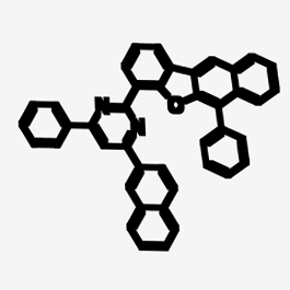 c1ccc(-c2cc(-c3ccc4ccccc4c3)nc(-c3cccc4c3oc3c(-c5ccccc5)c5ccccc5cc34)n2)cc1